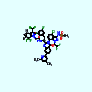 Cc1cc(C)nc(-c2ccc3c(=O)n(-c4ccc(Cl)c5c(NS(C)(=O)=O)nn(CC(F)F)c45)c([C@H](Cc4cc(F)cc(F)c4)NC(=O)Cn4nc(C(F)F)c5c4C(F)(F)[C@@H]4C[C@H]54)nc3c2)c1